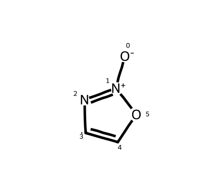 [O-][n+]1n[c]co1